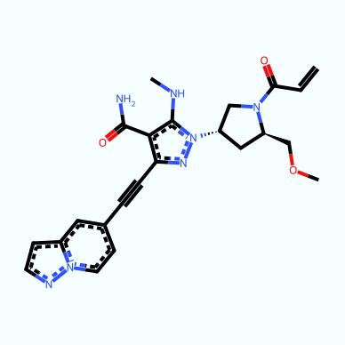 C=CC(=O)N1C[C@@H](n2nc(C#Cc3ccn4nccc4c3)c(C(N)=O)c2NC)C[C@@H]1COC